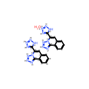 O.c1ccc2c(c1)cc(-c1nnn[nH]1)n1nnnc21.c1ccc2c(c1)cc(-c1nnn[nH]1)n1nnnc21